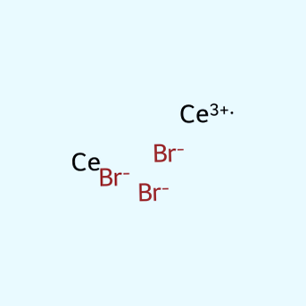 [Br-].[Br-].[Br-].[Ce+3].[Ce]